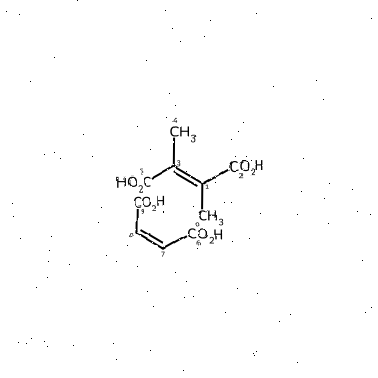 C/C(C(=O)O)=C(/C)C(=O)O.O=C(O)/C=C\C(=O)O